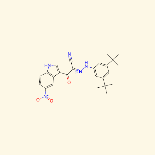 CC(C)(C)c1cc(N/N=C(\C#N)C(=O)c2c[nH]c3ccc([N+](=O)[O-])cc23)cc(C(C)(C)C)c1